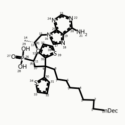 CCCCCCCCCCCCCCCCCCC(C[C@H](O[C@H](C)Cn1cnc2c(N)ncnc21)P(=O)(O)O)(c1cccs1)c1cccs1